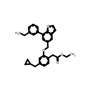 CCOC(=O)Cc1ccc(CC2CC2)cc1OCc1cc(-c2cccc(CN)c2)c2occc2c1